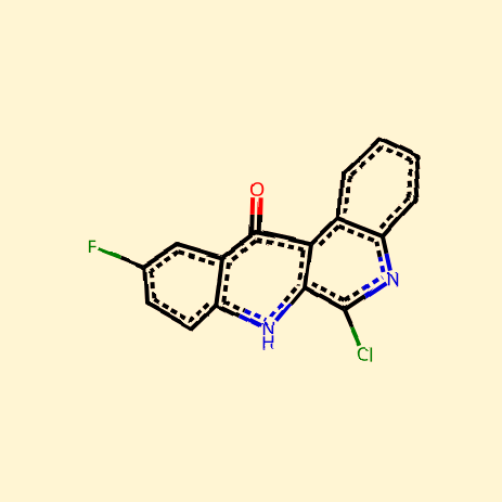 O=c1c2cc(F)ccc2[nH]c2c(Cl)nc3ccccc3c12